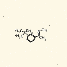 CC(=NO)c1cccc([Si](C)(C)C)c1